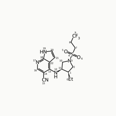 CC[C@@H]1CN(S(=O)(=O)CCC(F)(F)F)C[C@@H]1Nc1c(C#N)cnc2[nH]ccc12